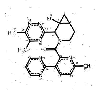 CCC12CC1CCN(C(=O)c1nc(C)ccc1-c1ncccn1)C2c1nnc(C)c(C)n1